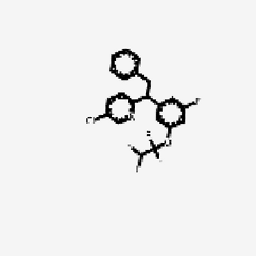 Fc1cc(OC(F)(F)C(F)F)cc(C(Cc2ccccc2)c2ccc(Cl)cn2)c1